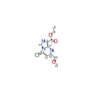 CCOC(=O)c1ncn2c(Cl)cc(COC)nc12